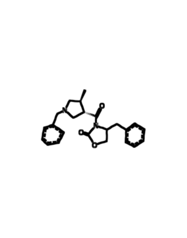 C[C@@H]1CN(Cc2ccccc2)C[C@H]1C(=O)N1C(=O)OCC1Cc1ccccc1